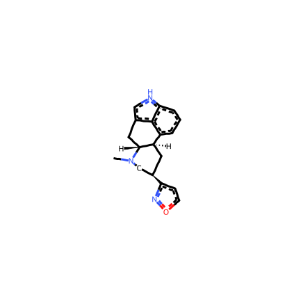 CN1C[C@H](c2ccon2)C[C@@H]2c3cccc4[nH]cc(c34)C[C@H]21